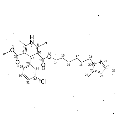 COC(=O)C1=C(C)NC(C)=C(C(=O)OCCCCCCn2nc(C)cc2C)C1c1cccc(Cl)c1